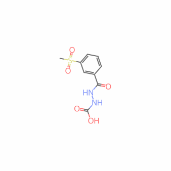 CS(=O)(=O)c1cccc(C(=O)NNC(=O)O)c1